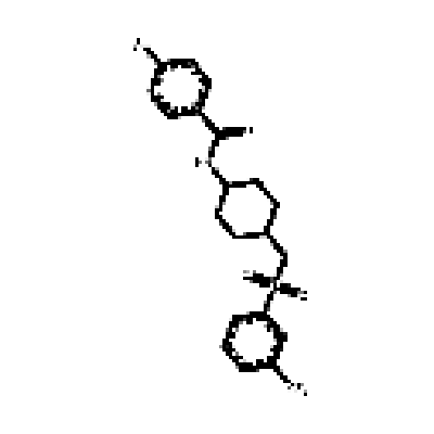 O=C(NC1CCC(CS(=O)(=O)c2cccc(C(F)(F)F)c2)CC1)c1ccc(C(F)(F)F)nc1